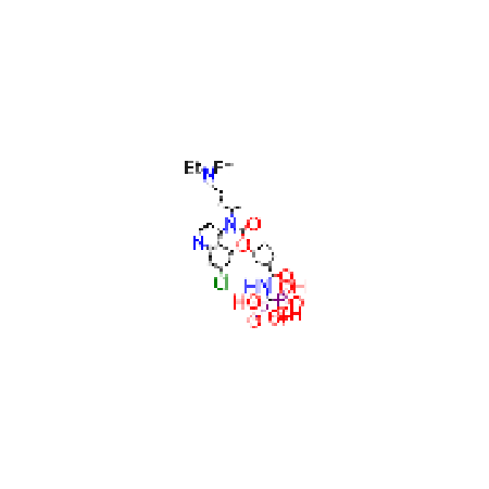 CCN(CC)CCCC(C)N(C(=O)OC1CCC(C(=O)NC(P(=O)(O)O)P(=O)(O)O)C1)c1ccnc2cc(Cl)ccc12